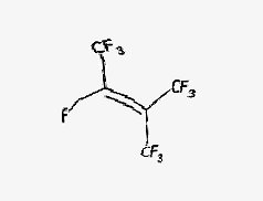 FC(=C(C(F)(F)F)C(F)(F)F)C(F)(F)F